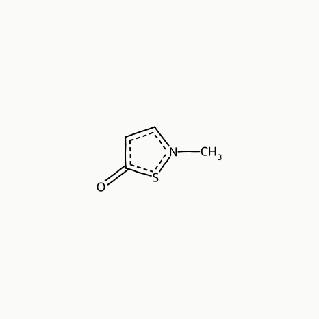 Cn1ccc(=O)s1